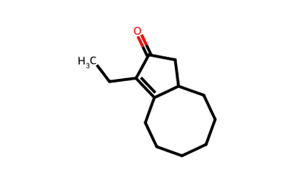 CCC1=C2CCCCCCC2CC1=O